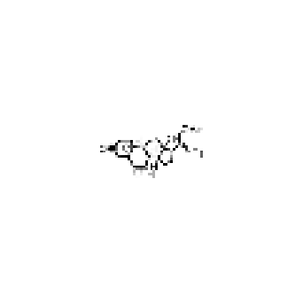 CC(=O)OC[C@@H](C)[C@H]1CC[C@H]2[C@@H]3[C@H]4OC4C4=CC(=O)CC[C@]4(C)[C@H]3CC[C@]12C